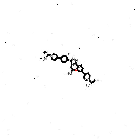 CC(O)Cn1c(-c2ccc(C3=CCN(C(=N)N)CC3)cc2F)nnc1-c1ccc(C2=CCN(C(=N)N)CC2)cc1F